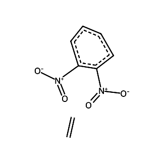 C=C.O=[N+]([O-])c1ccccc1[N+](=O)[O-]